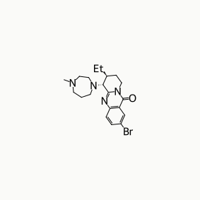 CC[C@H]1CCn2c(nc3ccc(Br)cc3c2=O)[C@@H]1N1CCCN(C)CC1